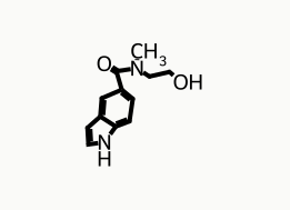 CN(CCO)C(=O)c1ccc2[nH]ccc2c1